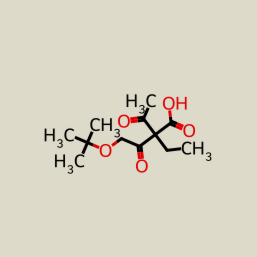 CCC(C(C)=O)(C(=O)O)C(=O)COC(C)(C)C